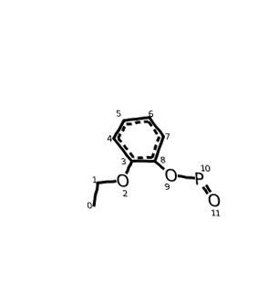 CCOc1ccccc1OP=O